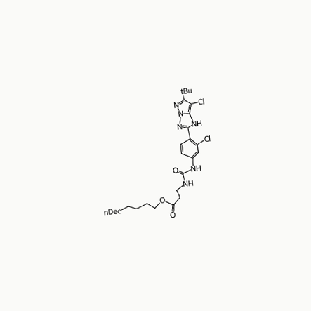 CCCCCCCCCCCCCCOC(=O)CCNC(=O)Nc1ccc(-c2nn3nc(C(C)(C)C)c(Cl)c3[nH]2)c(Cl)c1